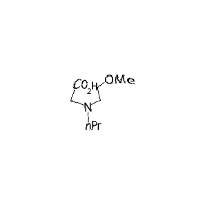 CCCN(CCOC)CC(=O)O